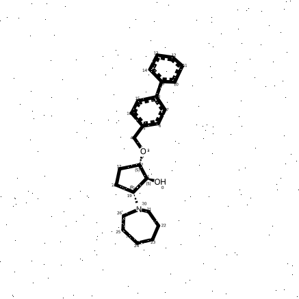 O[C@@H]1[C@@H](OCc2ccc(-c3ccccc3)cc2)CC[C@H]1N1CCCCCC1